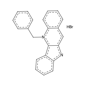 Br.c1ccc(Cn2c3c4ccccc4nc-3cc3ccccc32)cc1